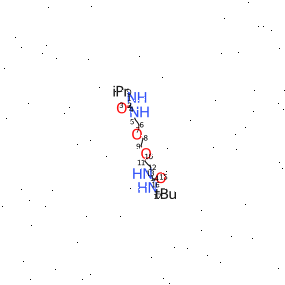 CC(C)NC(=O)NCCOCCOCCNC(=O)NC(C)(C)C